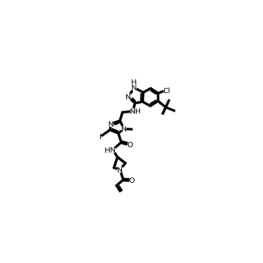 C=CC(=O)N1CC(NC(=O)c2c(I)nc(CNc3n[nH]c4cc(Cl)c(C(C)(C)C)cc34)n2C)C1